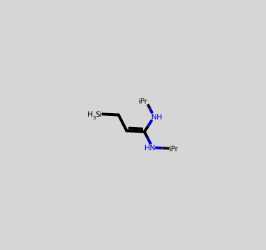 CC(C)NC(=CC[SiH3])NC(C)C